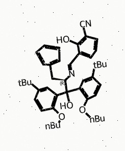 CCCCOc1ccc(C(C)(C)C)cc1C(O)(c1cc(C(C)(C)C)ccc1OCCCC)[C@@H](Cc1ccccc1)N=Cc1cccc(C#N)c1O